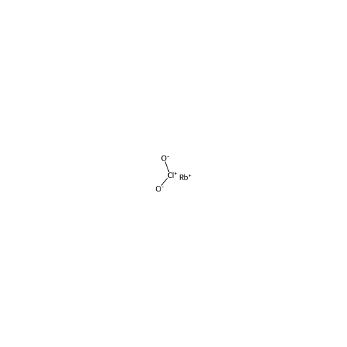 [O-][Cl+][O-].[Rb+]